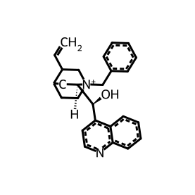 C=CC1C[N+]2(Cc3ccccc3)CCC1C[C@@H]2[C@@H](O)c1ccnc2ccccc12